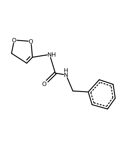 O=C(NCc1ccccc1)NC1=CCOO1